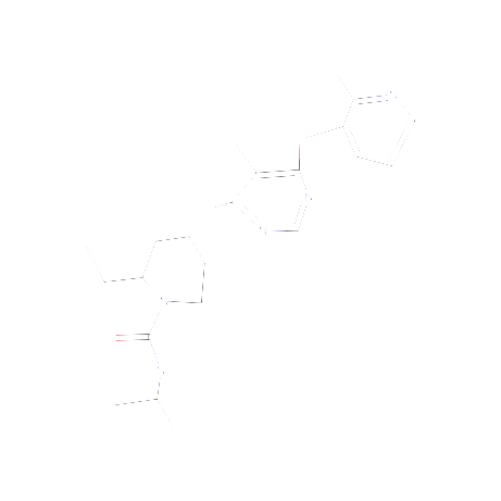 CCC1C[C@H](Oc2ncnc(Oc3cccnc3C)c2C)CCN1C(=O)NC(C)C